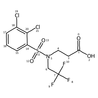 O=C(O)CCN(CC(F)(F)F)S(=O)(=O)c1cccc(Cl)c1Cl